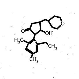 CCc1cc(C)cc(C)c1C1C(=O)CC(CC2CCOCC2)C1O